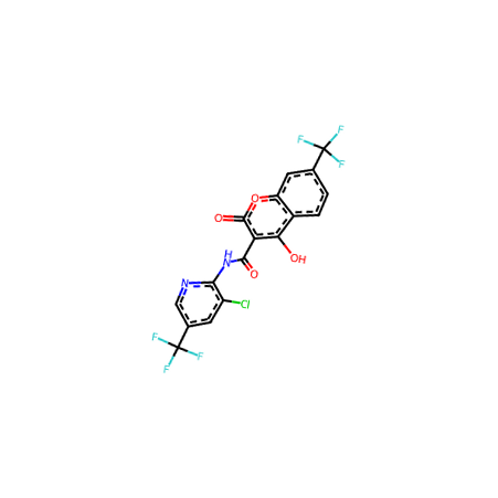 O=C(Nc1ncc(C(F)(F)F)cc1Cl)c1c(O)c2ccc(C(F)(F)F)cc2oc1=O